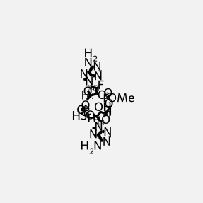 COP1(=O)OC[C@H]2O[C@@H](n3cnc4c(N)ncnc43)[C@@H](O[P@@](=O)(S)OC[C@H]3O[C@@H](n4cnc5c(N)ncnc54)[C@@H](F)C3O1)C2O